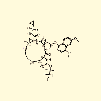 CC[C@@H]1C[C@H](C)CC/C=C\[C@@H]2C[C@@]2(C(=O)NS(=O)(=O)C2(C)CC2)NC(=O)[C@@H]2C[C@@H](Oc3ncc(OC)c4cc(OC)ccc34)CN2C(=O)[C@H]1NC(=O)OC(C)(C)C(F)(F)F